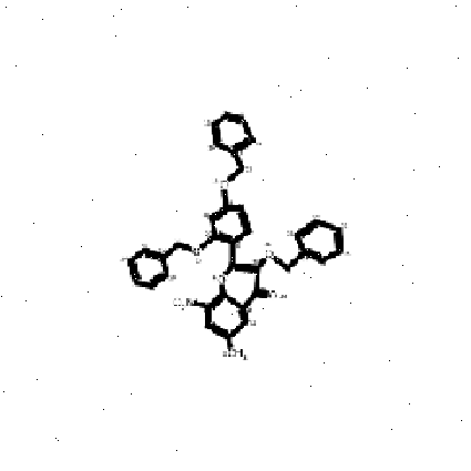 Cc1cc([N+](=O)[O-])c2oc(-c3ccc(OCc4ccccc4)cc3OCc3ccccc3)c(OCc3ccccc3)c(=O)c2c1